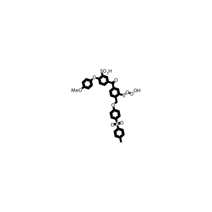 COc1ccc(Oc2ccc(C(=O)c3ccc(COc4ccc(S(=O)(=O)c5ccc(C)cc5)cc4)c(SOOO)c3)cc2S(=O)(=O)O)cc1